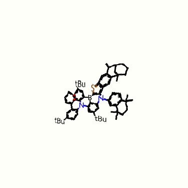 CC1c2cc3sc4c(c3cc2C2(C)CCCC1C2)N(c1ccc2c(c1)C(C)(C)CCC2(C)C)c1cc(C(C)(C)C)cc2c1B4c1cc(C(C)(C)C)ccc1N2c1ccc(C(C)(C)C)cc1-c1ccccc1